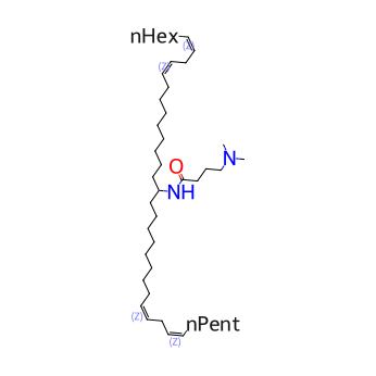 CCCCC/C=C\C/C=C\CCCCCCCCC(CCCCCCCC/C=C\C/C=C\CCCCCC)NC(=O)CCCN(C)C